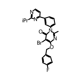 Cc1nc(OCc2ccc(F)cc2)c(Br)c(=O)n1-c1cccc(-c2ccnc(C(C)C)n2)c1